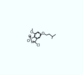 COc1cc(OCCC(C)C)cc2c1S(=O)(=O)N=C2Cl